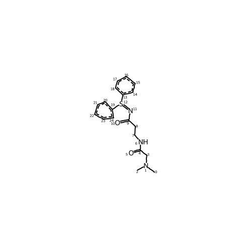 CN(C)CC(=O)NCCC(=O)N=S(c1ccccc1)c1ccccc1